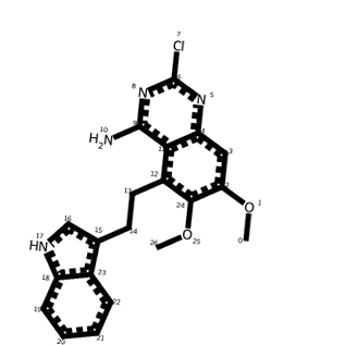 COc1cc2nc(Cl)nc(N)c2c(CCc2c[nH]c3ccccc23)c1OC